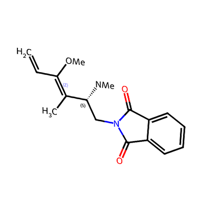 C=C/C(OC)=C(\C)[C@@H](CN1C(=O)c2ccccc2C1=O)NC